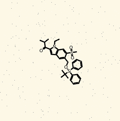 CCn1c(C(=O)C(C)C)cc2cc(CO[Si](c3ccccc3)(c3ccccc3)C(C)(C)C)c(S(C)(=O)=O)cc21